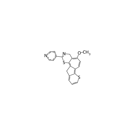 COC1=C2CN=C(c3ccncc3)SC2=C2CC3=CC=CSC3=C2C=C1